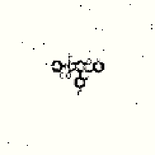 O=c1c2c(-c3ccc(Cl)cc3F)n(Cc3cccnc3)c(=O)cc2[nH]n1-c1ccccc1Cl